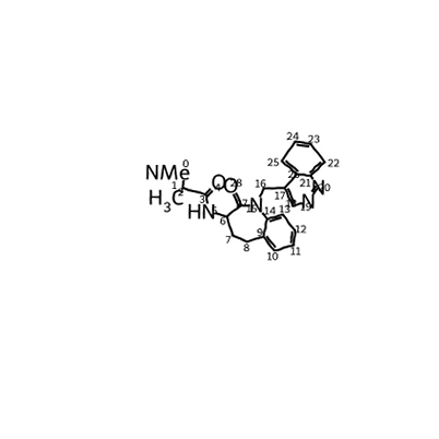 CNC(C)C(=O)NC1CCc2ccccc2N(Cc2cnnc3ccccc23)C1=O